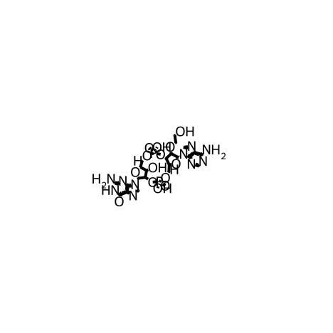 Nc1nc2c(ncn2[C@@H]2O[C@@H]3COP(=O)(O)OC4C(OCCO)[C@H](n5cnc6c(N)ncnc65)O[C@@H]4COP(=O)(O)OC2C3O)c(=O)[nH]1